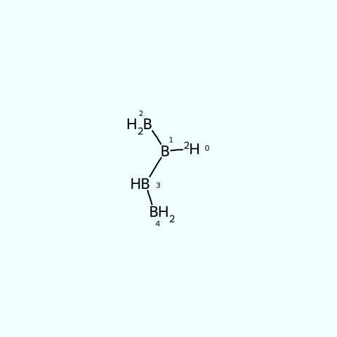 [2H]B(B)BB